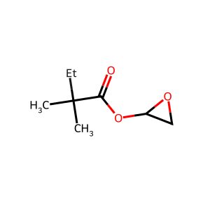 CCC(C)(C)C(=O)OC1CO1